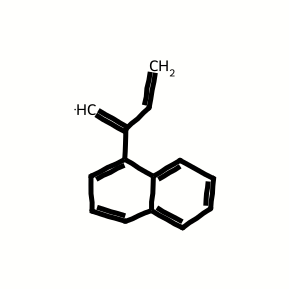 [CH]=C(C=C)c1cccc2ccccc12